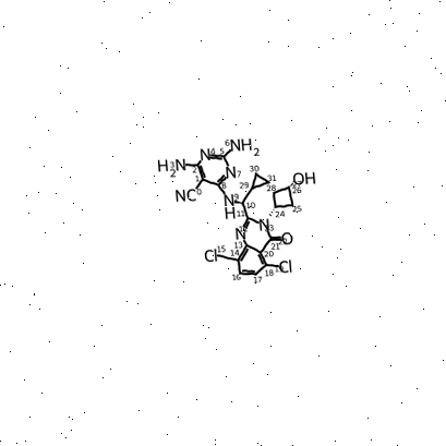 N#Cc1c(N)nc(N)nc1N[C@H](c1nc2c(Cl)ccc(Cl)c2c(=O)n1[C@H]1C[C@@H](O)C1)C1CC1